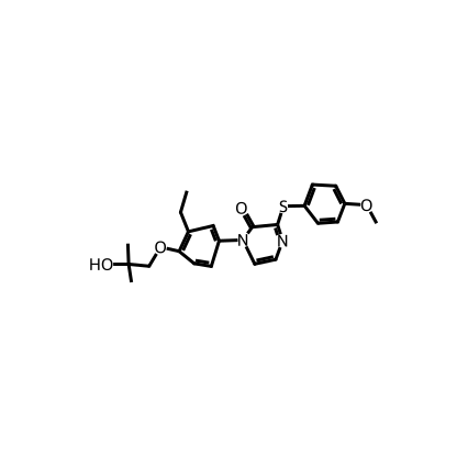 CCc1cc(-n2ccnc(Sc3ccc(OC)cc3)c2=O)ccc1OCC(C)(C)O